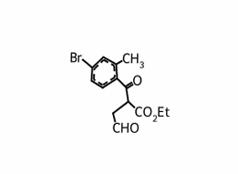 CCOC(=O)C(CC=O)C(=O)c1ccc(Br)cc1C